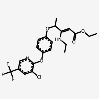 CCN/C(=C\C(=O)OCC)C(C)Oc1ccc(Oc2ncc(C(F)(F)F)cc2Cl)cc1